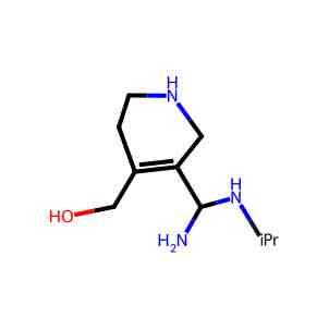 CC(C)NC(N)C1=C(CO)CCNC1